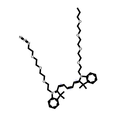 CCCOCCOCCOCCOCCN1/C(=C/C=C\C=C/C2=[N+](CCOCCOCCOCCN=[N+]=[N-])c3ccccc3C2(C)C)C(C)(C)c2ccccc21